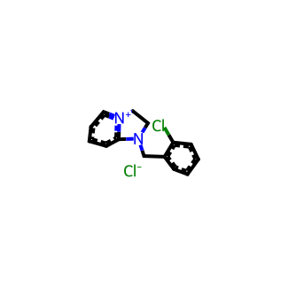 Clc1ccccc1CN1CC[n+]2ccccc21.[Cl-]